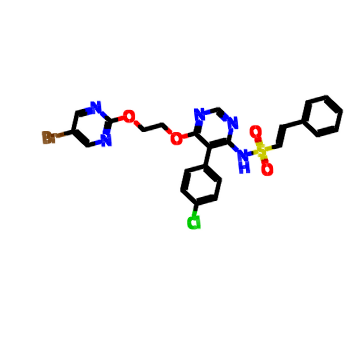 O=S(=O)(/C=C/c1ccccc1)Nc1ncnc(OCCOc2ncc(Br)cn2)c1-c1ccc(Cl)cc1